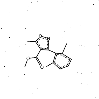 COC(=O)c1c(-c2c(C)cccc2C)noc1C